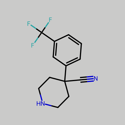 N#CC1(c2cccc(C(F)(F)F)c2)CCNCC1